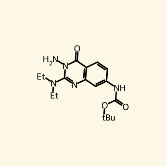 CCN(CC)c1nc2cc(NC(=O)OC(C)(C)C)ccc2c(=O)n1N